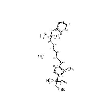 Cc1cc(C(C)(C)CC(C)(C)C)ccc1OCCOCC[N+](C)(C)Cc1ccccc1.[OH-]